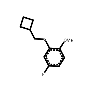 COc1ccc(F)cc1SCC1CCC1